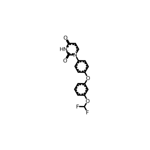 O=c1ccn(-c2ccc(Oc3cccc(OC(F)F)c3)cc2)c(=O)[nH]1